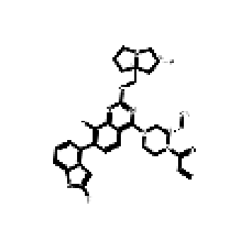 C=CC(=O)N1CCN(c2nc(OC[C@@]34CCCN3C[C@H](F)C4)nc3c(F)c(-c4cccc5sc(F)cc45)ccc23)C[C@@H]1CC#N